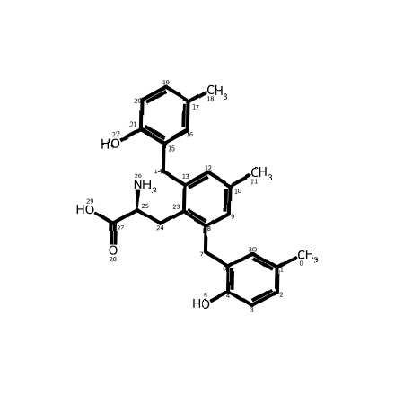 Cc1ccc(O)c(Cc2cc(C)cc(Cc3cc(C)ccc3O)c2C[C@H](N)C(=O)O)c1